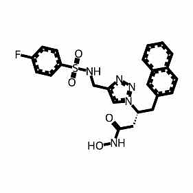 O=C(C[C@@H](Cc1ccc2ccccc2c1)n1cc(CNS(=O)(=O)c2ccc(F)cc2)nn1)NO